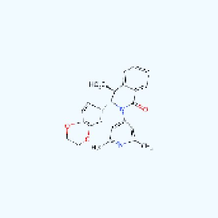 Cc1cc(N2C(=O)c3ccccc3[C@H](C(=O)O)[C@H]2c2ccc3c(c2)OCCO3)cc(C)n1